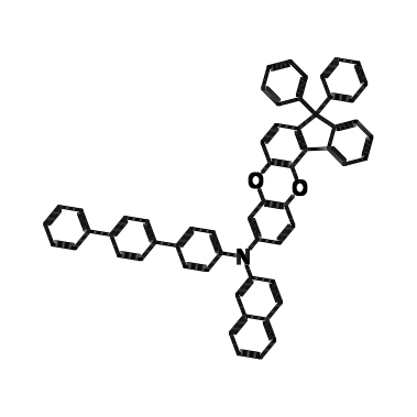 c1ccc(-c2ccc(-c3ccc(N(c4ccc5c(c4)Oc4ccc6c(c4O5)-c4ccccc4C6(c4ccccc4)c4ccccc4)c4ccc5ccccc5c4)cc3)cc2)cc1